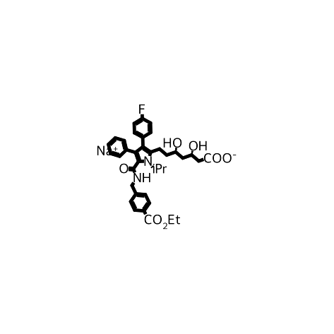 CCOC(=O)c1ccc(CNC(=O)c2c(-c3ccccc3)c(-c3ccc(F)cc3)c(CC[C@@H](O)C[C@@H](O)CC(=O)[O-])n2C(C)C)cc1.[Na+]